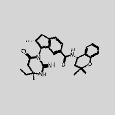 CC[C@]1(C)CC(=O)N([C@@H]2c3cc(C(=O)N[C@H]4CC(C)(C)Oc5ccccc54)ccc3C[C@H]2C)C(=N)N1